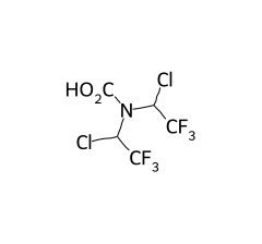 O=C(O)N(C(Cl)C(F)(F)F)C(Cl)C(F)(F)F